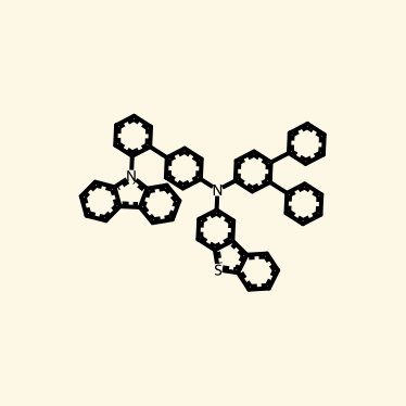 c1ccc(-c2ccc(N(c3ccc(-c4ccccc4-n4c5ccccc5c5ccccc54)cc3)c3ccc4sc5ccccc5c4c3)cc2-c2ccccc2)cc1